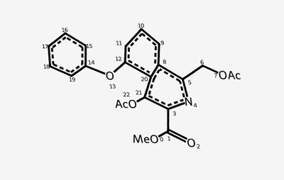 COC(=O)c1nc(COC(C)=O)c2cccc(Oc3ccccc3)c2c1OC(C)=O